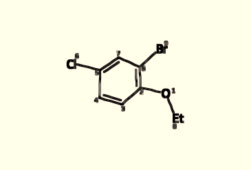 [CH2]COc1ccc(Cl)cc1Br